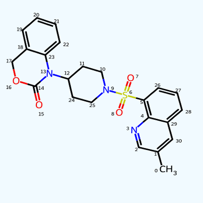 Cc1cnc2c(S(=O)(=O)N3CCC(N4C(=O)OCc5ccccc54)CC3)cccc2c1